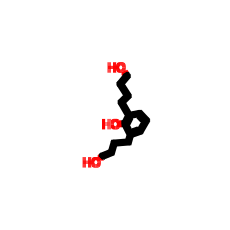 OCCCCc1cccc(CCCCO)c1O